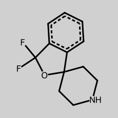 FC1(F)OC2(CCNCC2)c2ccccc21